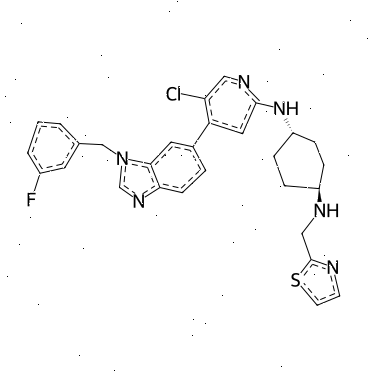 Fc1cccc(Cn2cnc3ccc(-c4cc(N[C@H]5CC[C@H](NCc6nccs6)CC5)ncc4Cl)cc32)c1